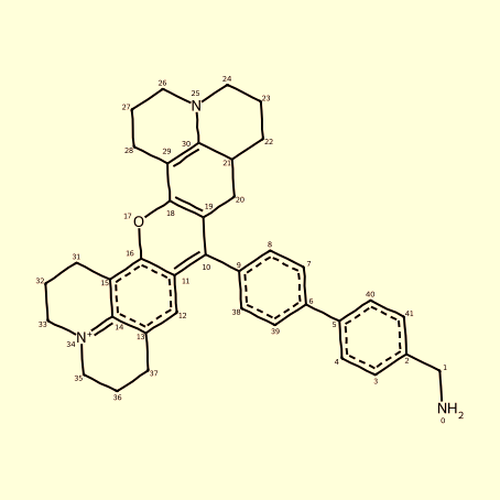 NCc1ccc(-c2ccc(C3=c4cc5c6c(c4OC4=C3CC3CCCN7CCCC4=C37)CCC[N+]=6CCC5)cc2)cc1